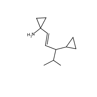 CC(C)C(C=CC1(N)CC1)C1CC1